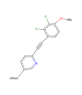 CCCCCc1ccc(C#Cc2ccc(OCCCC)c(F)c2F)nc1